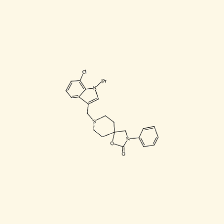 CC(C)n1cc(CN2CCC3(CC2)CN(c2ccccc2)C(=O)O3)c2cccc(Cl)c21